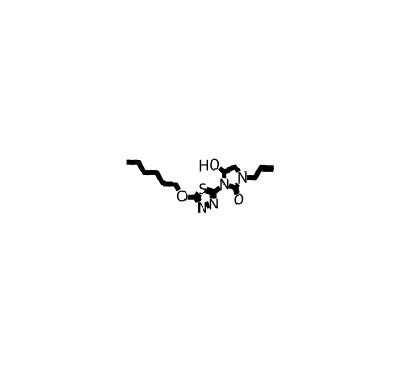 C=CCN1CC(O)N(c2nnc(OCCCCCC)s2)C1=O